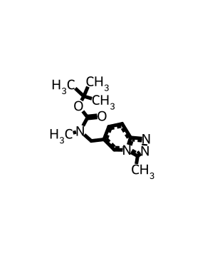 Cc1nnc2ccc(CN(C)C(=O)OC(C)(C)C)cn12